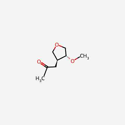 CO[C@H]1COC[C@@H]1CC(C)=O